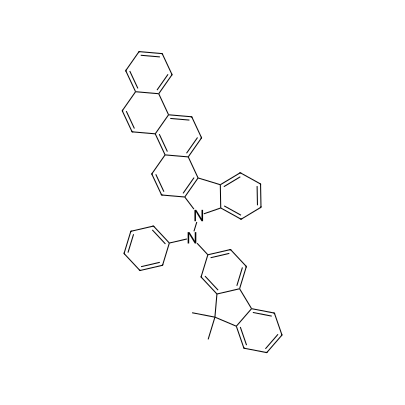 CC1(C)c2ccccc2-c2ccc(N(c3ccccc3)n3c4ccccc4c4c5ccc6c7ccccc7ccc6c5ccc43)cc21